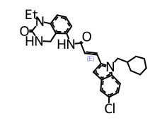 CCN1C(=O)NCc2c(NC(=O)/C=C/c3cc4cc(Cl)ccc4n3CC3CCCCC3)cccc21